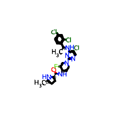 C[C@H]1CC[C@H](C(=O)N[C@H]2CCN(c3ncc(Cl)c(N[C@H](C)c4ccc(Cl)cc4Cl)n3)C[C@@H]2F)N1